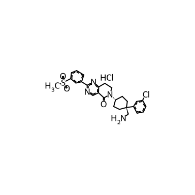 CS(=O)(=O)c1cccc(-c2ncc3c(n2)CCN([C@H]2CC[C@@](CN)(c4cccc(Cl)c4)CC2)C3=O)c1.Cl